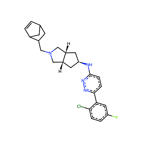 Fc1ccc(Cl)c(-c2ccc(N[C@H]3C[C@@H]4CN(CC5CC6C=CC5C6)C[C@@H]4C3)nn2)c1